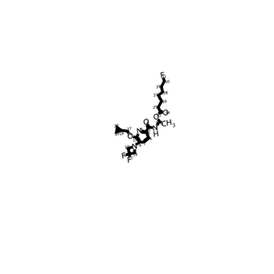 CC(NC(=O)c1ccc(N2CC(F)(F)C2)c(OCC2CC2)n1)OC(=O)CCCCCCF